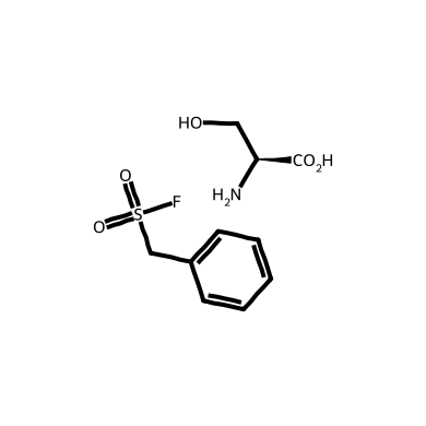 N[C@@H](CO)C(=O)O.O=S(=O)(F)Cc1ccccc1